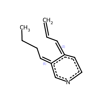 C=C/C=c1/ccnc/c1=C/CCC